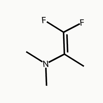 CC(=C(F)F)N(C)C